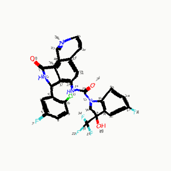 O=C1NC(c2cc(F)ccc2Cl)c2c(NC(=O)N3CC(O)(C(F)(F)F)c4cc(F)ccc43)cc3ccncc3c21